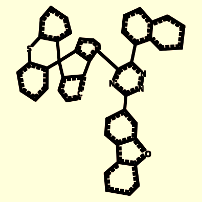 c1ccc2c(c1)Sc1ccccc1C21c2ccccc2-c2c(-c3nc(-c4ccc5c(c4)oc4ccccc45)nnc3-c3cccc4ccccc34)cccc21